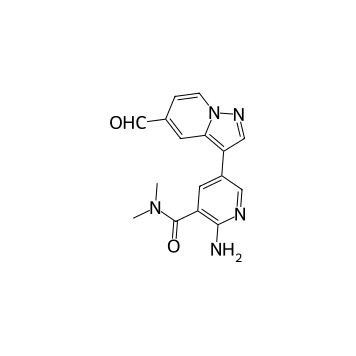 CN(C)C(=O)c1cc(-c2cnn3ccc(C=O)cc23)cnc1N